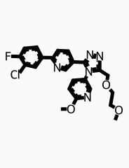 COCCOCc1nnc(-c2ccc(-c3ccc(F)c(Cl)c3)nc2)n1-c1ccc(OC)nc1